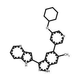 Cc1cc2[nH]nc(-c3cc4ncccc4[nH]3)c2cc1-c1cncc(OC2CCCCC2)c1